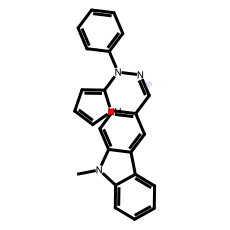 Cn1c2ccccc2c2cc(/C=N\N(c3ccccc3)c3ccc[nH]3)ccc21